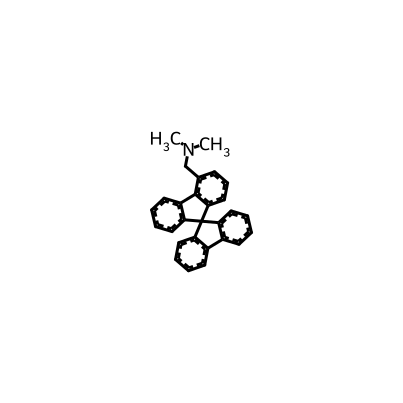 CN(C)Cc1cccc2c1-c1ccccc1C21c2ccccc2-c2ccccc21